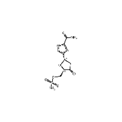 NC(=O)c1ncn([C@H]2CC(=O)[C@@H](COS(N)(=O)=O)O2)n1